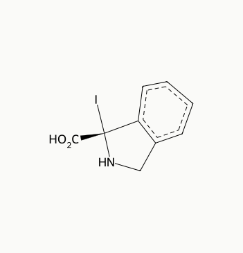 O=C(O)[C@]1(I)NCc2ccccc21